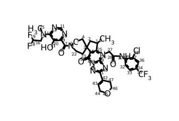 CC1CC2(CCN(C(=O)c3ncnc(N(C)CC(F)F)c3O)CC2)c2c1n(CC(=O)Nc1ccc(C(F)(F)F)cc1Cl)c1nc(C3=CCOCC3)nn1c2=O